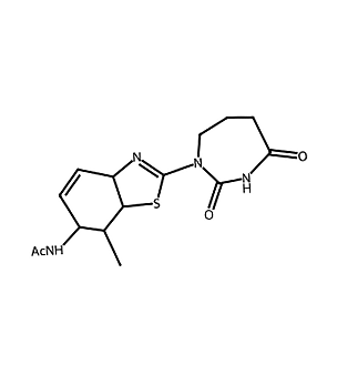 CC(=O)NC1C=CC2N=C(N3CCCC(=O)NC3=O)SC2C1C